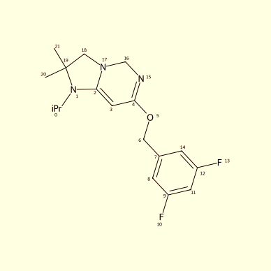 CC(C)N1C2=CC(OCc3cc(F)cc(F)c3)=NCN2CC1(C)C